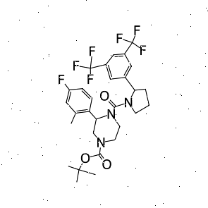 Cc1cc(F)ccc1C1CN(C(=O)OC(C)(C)C)CCN1C(=O)N1CCCC1c1cc(C(F)(F)F)cc(C(F)(F)F)c1